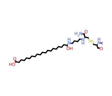 NC(=O)C(CSSCC(C=O)NI)NCCCCNC(O)CCCCCCCCCCCCCCCCCCC(=O)O